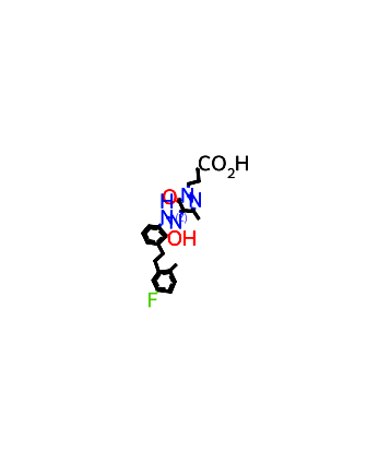 CC1=NN(CCCC(=O)O)C(=O)/C1=N\Nc1cccc(CCc2cc(F)ccc2C)c1O